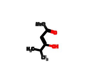 COC(=O)C=C(O)C(C)C(F)(F)F